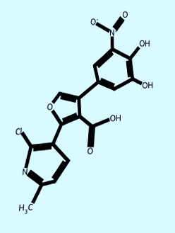 Cc1ccc(-c2occ(-c3cc(O)c(O)c([N+](=O)[O-])c3)c2C(=O)O)c(Cl)n1